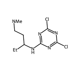 CCC(CCNC)Nc1nc(Cl)nc(Cl)n1